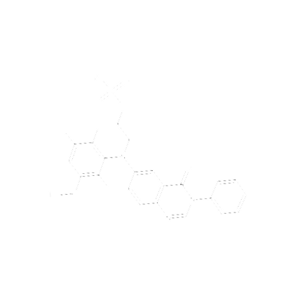 COc1cc(C)c(F)c(N(CCOS(C)(=O)=O)c2ccc3ncn(-c4ccccc4)c(=O)c3c2)c1F